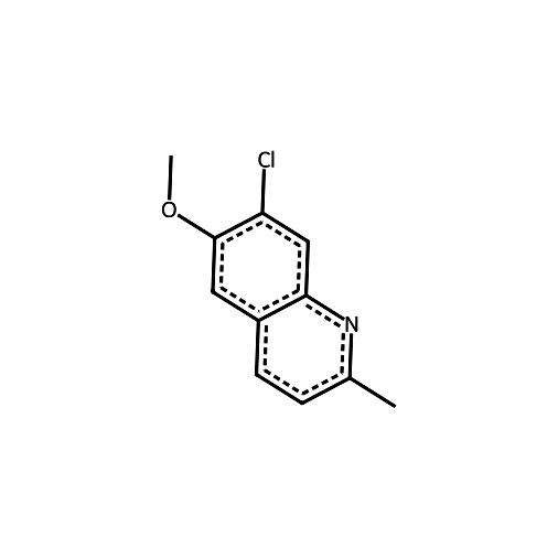 COc1cc2ccc(C)nc2cc1Cl